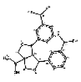 CC(O)C12COC(c3cccc(C(F)F)c3)N1C(c1cccc(C(F)F)c1)OC2